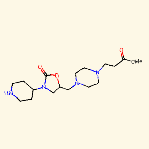 COC(=O)CCN1CCN(CC2CN(C3CCNCC3)C(=O)O2)CC1